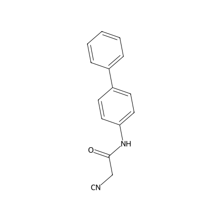 [C-]#[N+]CC(=O)Nc1ccc(-c2ccccc2)cc1